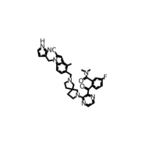 Cc1c(CN2CCC3(CCN(c4nccnc4C(=O)c4ccc(F)cc4C(=O)N(C)C)C3)C2)ccc2c1cc(C#N)n2Cc1cc[nH]c1